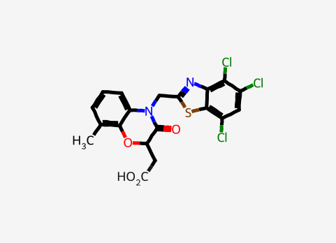 Cc1cccc2c1OC(CC(=O)O)C(=O)N2Cc1nc2c(Cl)c(Cl)cc(Cl)c2s1